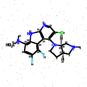 CN1C[C@H]2CCN(c3c(Cl)cnc4[nH]c5c(N(C)C(=O)O)cc(F)c(F)c5c34)[C@H]2C1